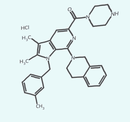 Cc1cccc(Cn2c(C)c(C)c3cc(C(=O)N4CCNCC4)nc(N4CCc5ccccc5C4)c32)c1.Cl